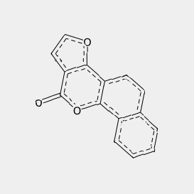 O=c1oc2c3ccccc3ccc2c2occc12